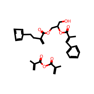 C=C(C)C(=O)OC(=O)C(=C)C.C=C(CCc1ccccc1)C(=O)OCC(CO)OC(=O)C(C)=Cc1ccccc1